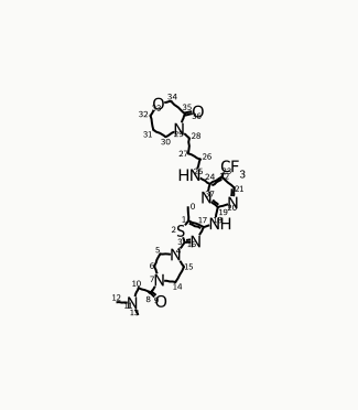 Cc1sc(N2CCN(C(=O)CN(C)C)CC2)nc1Nc1ncc(C(F)(F)F)c(NCCCN2CCCOCC2=O)n1